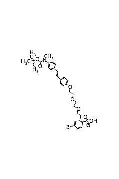 CN(C(=O)OC(C)(C)C)c1ccc(C=Cc2ccc(OCCOCCOCCc3cc(Br)ccc3S(=O)(=O)O)cc2)cc1